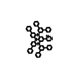 c1ccc(-c2cc(-c3ccccc3)cc(N3c4cc(-c5ccccc5)ccc4B4c5ccc(-c6ccccc6)cc5N(c5cc(-c6ccccc6)cc(-c6ccccc6)c5)c5cc(-c6ccncn6)cc3c54)c2)cc1